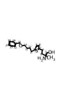 CC(N)(CO)CCc1ccc(CCCCOCc2ccccc2)s1